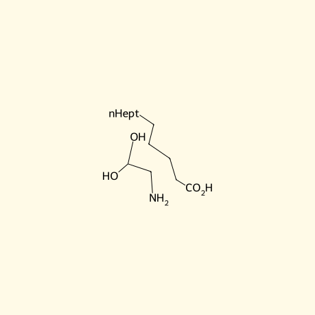 CCCCCCCCCCCC(=O)O.NCC(O)O